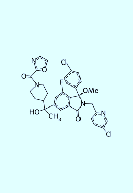 CO[C@]1(c2ccc(Cl)cc2)c2c(F)cc(C(C)(O)C3CCN(C(=O)c4ncco4)CC3)cc2C(=O)N1Cc1ccc(Cl)cn1